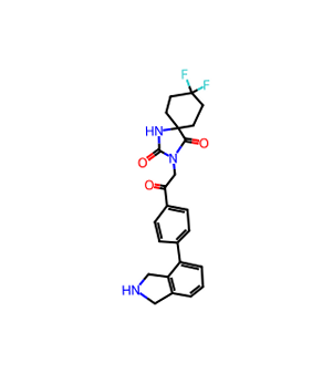 O=C(CN1C(=O)NC2(CCC(F)(F)CC2)C1=O)c1ccc(-c2cccc3c2CNC3)cc1